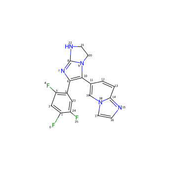 Fc1cc(F)c(-c2nc3n(c2-c2ccc4nccn4c2)CCN3)cc1F